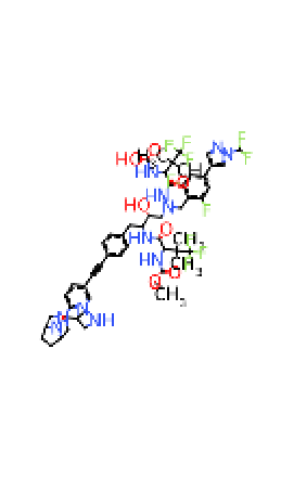 COC(=O)NC(C(=O)NC(Cc1ccc(C#Cc2ccc(N3CC4CCC(C3)N4CC3CNC3)nc2)cc1)C(O)CN(Cc1c(F)cc(-c2cnn(C(F)F)c2)cc1F)NC(=O)C(NC(=O)O)C(C)(C)C(F)(F)F)C(C)(C)C(F)(F)F